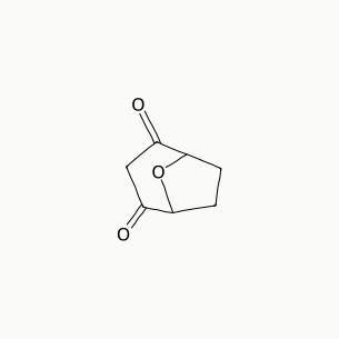 O=C1CC(=O)C2CCC1O2